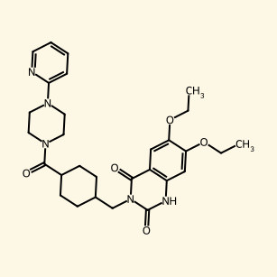 CCOc1cc2[nH]c(=O)n(CC3CCC(C(=O)N4CCN(c5ccccn5)CC4)CC3)c(=O)c2cc1OCC